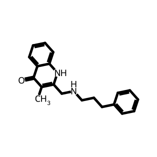 Cc1c(CNCCCc2ccccc2)[nH]c2ccccc2c1=O